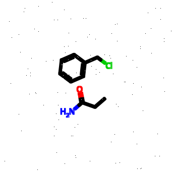 CCC(N)=O.ClCc1ccccc1